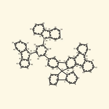 c1ccc2c(c1)-c1ccccc1C21c2ccc(-c3nc(-n4c5ccccc5c5ccccc54)nc(-n4c5ccccc5c5ccccc54)n3)cc2-c2cc3c4ccccc4c4ccccc4c3cc21